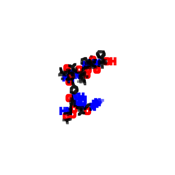 CC[C@H](C)[C@@H]([C@@H](CC(=O)N1CCC[C@H]1[C@H](OC)[C@@H](C)C(=O)N[C@H](C)[C@@H](O)c1ccccc1)OC)N(C)C(=O)[C@@H](NC(=O)[C@H](C(C)C)N(C)C(=O)OCc1ccc(NC(=O)[C@H](CCNC(=O)OC(C)(C)C)NC(=O)[C@@H](NC(=O)CN=[N+]=[N-])C(C)C)cc1)C(C)C